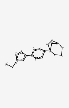 CC(C)Cn1cc(-c2ccc(C34CCCN(CC3)C4)cn2)cn1